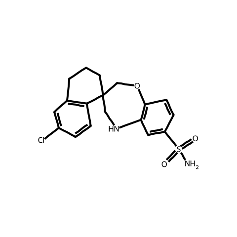 NS(=O)(=O)c1ccc2c(c1)NCC1(CCCc3cc(Cl)ccc31)CO2